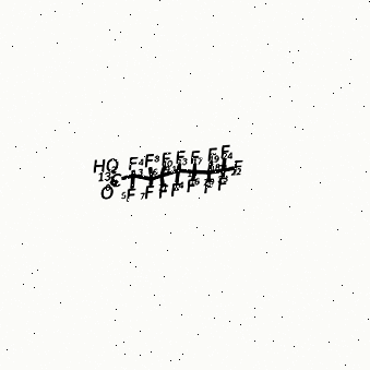 O=[13C](O)C(F)(F)C(F)(F)C(F)(F)C(F)(F)C(F)(F)C(F)(F)C(F)(F)F